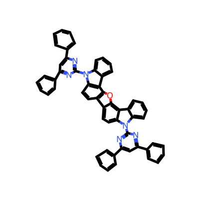 c1ccc(-c2cc(-c3ccccc3)nc(-n3c4ccccc4c4c5oc6c(ccc7c6c6ccccc6n7-c6nc(-c7ccccc7)cc(-c7ccccc7)n6)c5ccc43)n2)cc1